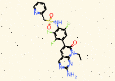 CCn1c(=O)c(-c2cc(F)c(NS(=O)(=O)Cc3ccccn3)c(F)c2F)cc2cnc(N)nc21